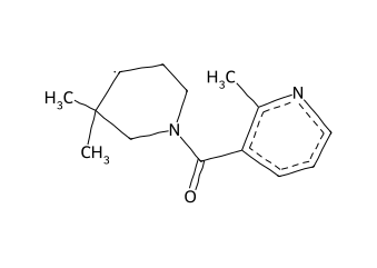 Cc1ncccc1C(=O)N1CC[CH]C(C)(C)C1